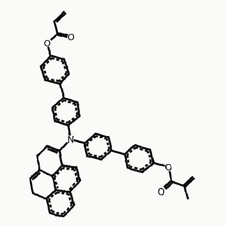 C=CC(=O)Oc1ccc(-c2ccc(N(C3=CCC4=CCc5cccc6ccc3c4c56)c3ccc(-c4ccc(OC(=O)C(=C)C)cc4)cc3)cc2)cc1